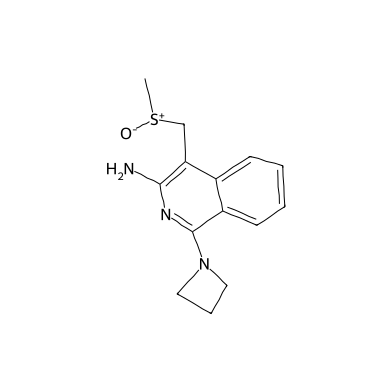 C[S+]([O-])Cc1c(N)nc(N2CCC2)c2ccccc12